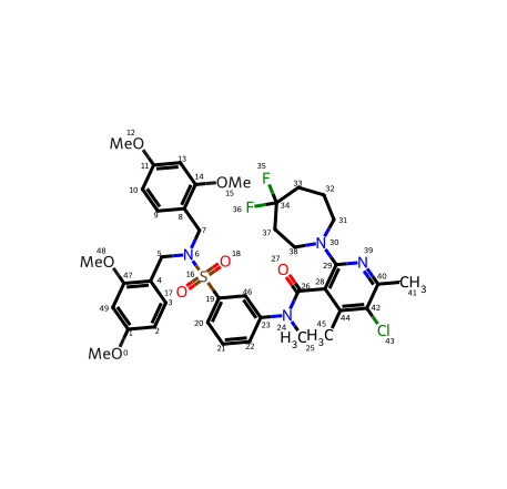 COc1ccc(CN(Cc2ccc(OC)cc2OC)S(=O)(=O)c2cccc(N(C)C(=O)c3c(N4CCCC(F)(F)CC4)nc(C)c(Cl)c3C)c2)c(OC)c1